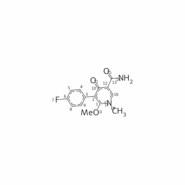 COc1c(-c2ccc(F)cc2)c(=O)c(C(N)=O)cn1C